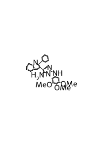 COc1cc(Nc2ncc(-c3cc4ccccc4nc3-c3ccccc3)c(N)n2)cc(OC)c1OC